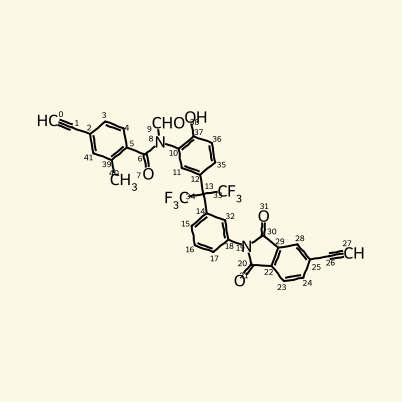 C#Cc1ccc(C(=O)N(C=O)c2cc(C(c3cccc(N4C(=O)c5ccc(C#C)cc5C4=O)c3)(C(F)(F)F)C(F)(F)F)ccc2O)c(C)c1